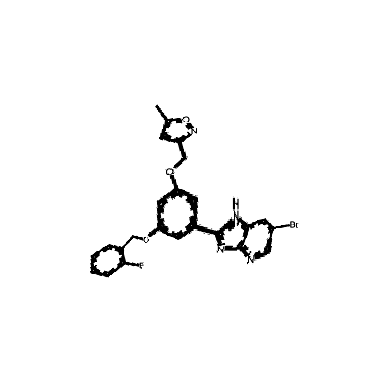 Cc1cc(COc2cc(OCc3ccccc3F)cc(-c3nc4ncc(Br)cc4[nH]3)c2)no1